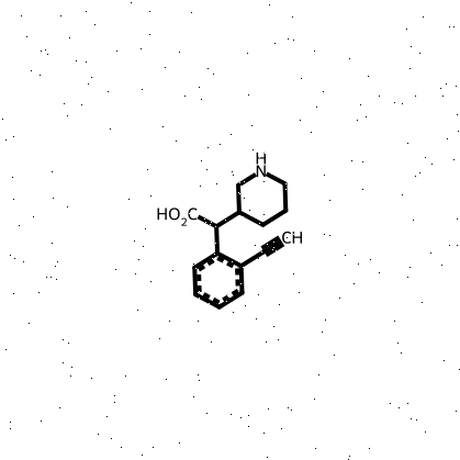 C#Cc1ccccc1C(C(=O)O)C1CCCNC1